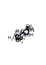 CCC(OC(=O)c1cccnc1)C(C)C1OC1CC(C)/C=C/C=C(\C)C1OC(=O)CC(O)CCC(C)(O)C(OC(C)=O)/C=C/C1C